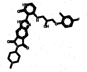 Cc1cc(F)ccc1OCC(O)CNc1cc[nH]c(=O)c1-c1nc2cc3c(cc2[nH]1)C(=O)N(C1CCN(C)CC1)C3=O